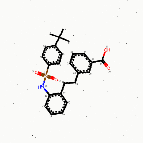 CC(C)(C)c1ccc(S(=O)(=O)Nc2ccccc2CCc2cccc(C(=O)O)c2)cc1